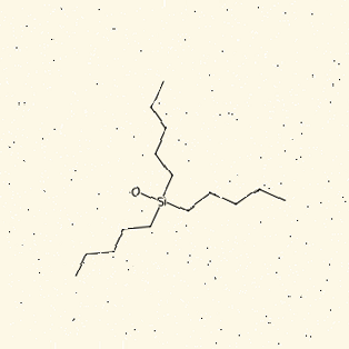 CCCCC[Si]([O])(CCCCC)CCCCC